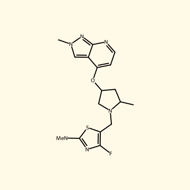 CNc1nc(F)c(CN2CC(Oc3ccnc4nn(C)cc34)CC2C)s1